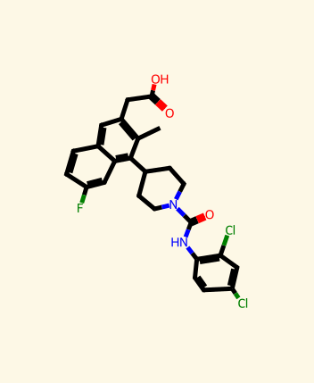 Cc1c(CC(=O)O)cc2ccc(F)cc2c1C1CCN(C(=O)Nc2ccc(Cl)cc2Cl)CC1